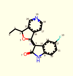 CCC1O/C(=C2\C(=O)Nc3ccc(F)cc32)c2ccncc21